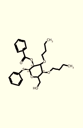 CCCCOC1[C@@H](OCCCC)C(CO)O[C@@H](Sc2ccccc2)[C@H]1OC(=O)c1ccccc1